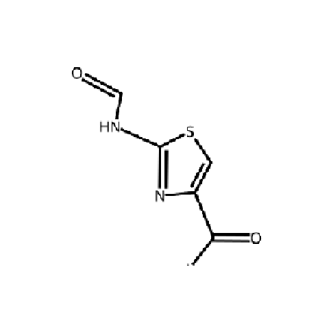 [CH2]C(=O)c1csc(NC=O)n1